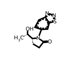 C[C@H](O)[C@H]1CCC(=O)N1c1ccc2nnsc2c1